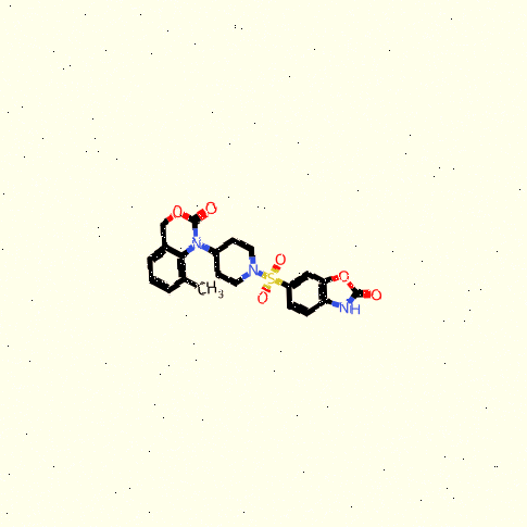 Cc1cccc2c1N(C1CCN(S(=O)(=O)c3ccc4[nH]c(=O)oc4c3)CC1)C(=O)OC2